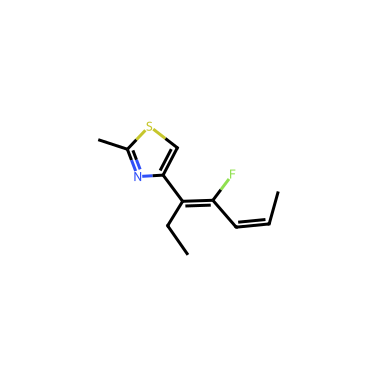 C/C=C\C(F)=C(/CC)c1csc(C)n1